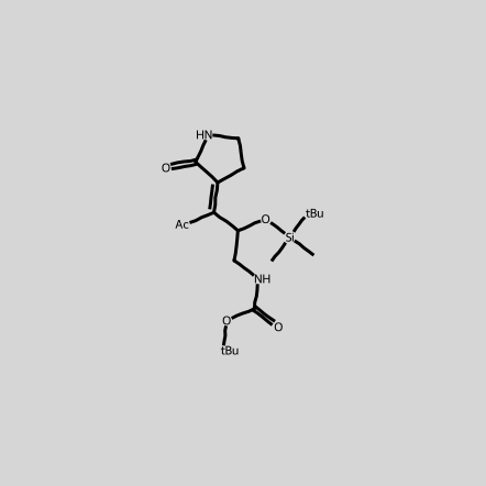 CC(=O)C(=C1CCNC1=O)C(CNC(=O)OC(C)(C)C)O[Si](C)(C)C(C)(C)C